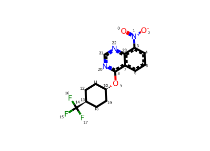 O=[N+]([O-])c1cccc2c(O[C@H]3CC[C@H](C(F)(F)F)CC3)ncnc12